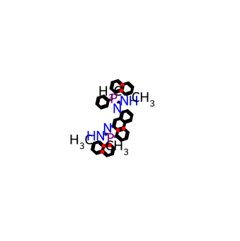 Cc1cccc(C)c1N/C(=N/c1ccc2cccc(/N=C(\Nc3c(C)cccc3C)P(c3ccccc3)c3ccccc3)c2c1)P(c1ccccc1)c1ccccc1